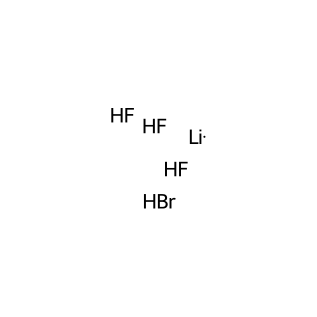 Br.F.F.F.[Li]